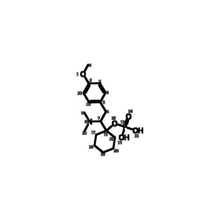 COc1ccc(CC(N(C)C)C2(OP(=O)(O)O)CCCCC2)cc1